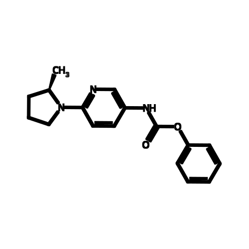 C[C@@H]1CCCN1c1ccc(NC(=O)Oc2ccccc2)cn1